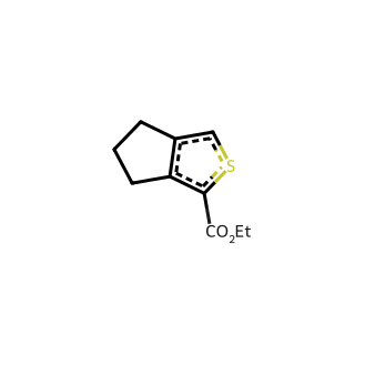 CCOC(=O)c1scc2c1CCC2